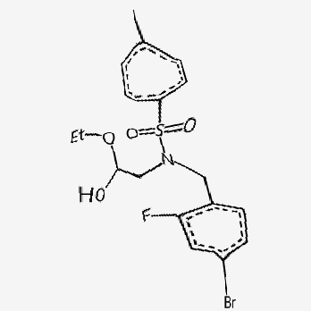 CCOC(O)CN(Cc1ccc(Br)cc1F)S(=O)(=O)c1ccc(C)cc1